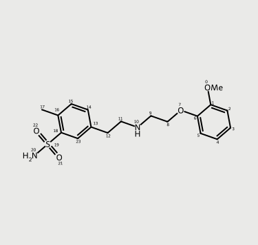 COc1ccccc1OCCNCCc1ccc(C)c(S(N)(=O)=O)c1